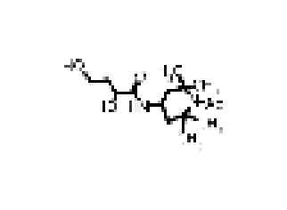 CC(=O)N1C(C)(C)CC(NC(=O)C(O)CCO)CC1(C)C